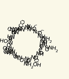 CCCC[C@H]1C(=O)N[C@@H](CN)C(=O)N[C@H](C(=O)NCC(N)=O)CSCC(=O)N[C@@H](Cc2ccc(O)cc2)C(=O)N(C)[C@@H](C)C(=O)N[C@@H](CC(N)=O)C(=O)N2CCC[C@H]2C(=O)N[C@@H](Cc2cnc[nH]2)C(=O)N[C@@H](CCC(=O)O)C(=O)N2C[C@H](O)C[C@H]2C(=O)N[C@@H](Cc2c[nH]c3ccccc23)C(=O)N[C@@H](CO)C(=O)N[C@@H](Cc2cccc3ccccc23)c2nnnn2[C@@H](CCCC)C(=O)N1C